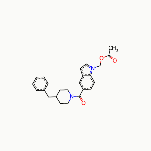 CC(=O)OCn1ccc2cc(C(=O)N3CCC(Cc4ccccc4)CC3)ccc21